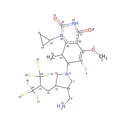 COC1=C(F)C(N2CC(CN)C(CC(C(F)(F)F)C(F)(F)F)C2)C(C)c2c1c(=O)[nH]c(=O)n2C1CC1